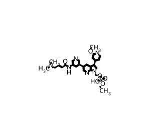 CCOP(=O)(O)OCn1cc(-c2ccnc(OC)c2)c2cc(-c3cncc(NC(=O)C=CCN(C)C)c3)cnc21